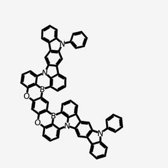 c1ccc(-n2c3ccccc3c3cc4c(cc32)c2cccc3c2n4-c2cccc4c2B3c2cc3c(cc2O4)Oc2cccc4c2B3c2cccc3c5cc6c(cc5n-4c23)c2ccccc2n6-c2ccccc2)cc1